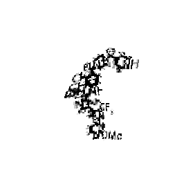 COc1nccc(-n2cc(-c3cnc(C(=O)Nc4ccc(C(=O)N5CCN(C(=O)C6CCNCC6)CC5)c(Cl)c4)n3C)c(C(F)(F)F)n2)n1.O=CO